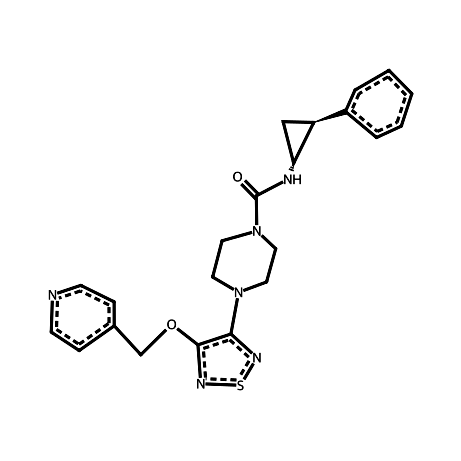 O=C(N[C@@H]1C[C@H]1c1ccccc1)N1CCN(c2nsnc2OCc2ccncc2)CC1